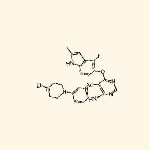 CCN1CCN(c2ccc(Nc3ncnc(Oc4ccc5[nH]c(C)cc5c4F)c3C(C)=O)nc2)CC1